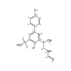 CC(C)(O)c1cc(-c2ccc(F)cc2)nc(C(O)CNC=O)c1F